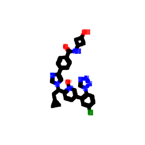 O=C(NC1CC(O)C1)c1ccc(-c2cn(C(CC3CC3)c3ccc(-c4cc(Cl)ccc4-n4cnnn4)c[n+]3[O-])cn2)cc1